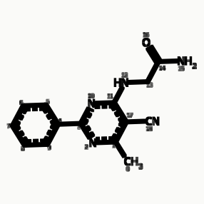 Cc1nc(-c2ccccc2)nc(NCC(N)=O)c1C#N